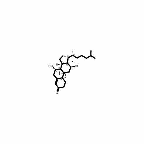 CC(C)CCC[C@@H](C)[C@H]1CC[C@H]2[C@@H]3[C@H](O)CC4=CC(=O)CC[C@]4(C)[C@H]3C[C@H](O)[C@]12C